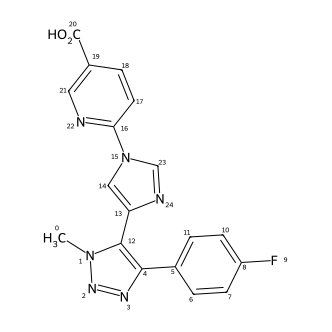 Cn1nnc(-c2ccc(F)cc2)c1-c1cn(-c2ccc(C(=O)O)cn2)cn1